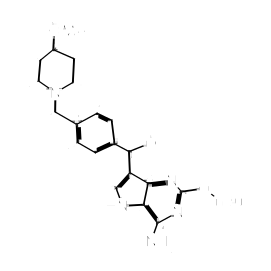 CCCCOc1nc(N)c2[nH]cc(C(O)c3ccc(CN4CCC(OC)CC4)cc3)c2n1